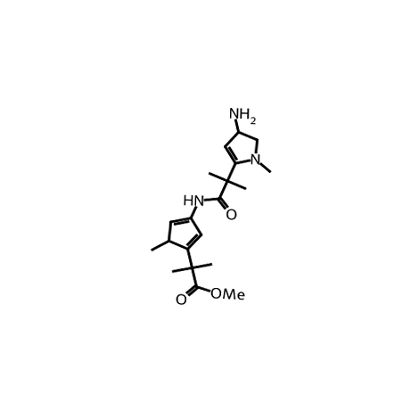 COC(=O)C(C)(C)C1=CC(NC(=O)C(C)(C)C2=CC(N)CN2C)=CC1C